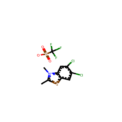 Cc1sc2cc(Cl)c(Cl)cc2[n+]1C.O=S(=O)([O-])C(F)(F)F